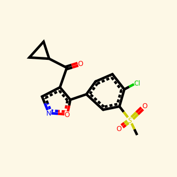 CS(=O)(=O)c1cc(-c2oncc2C(=O)C2CC2)ccc1Cl